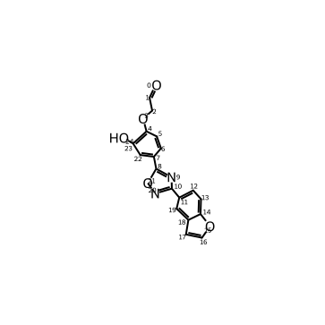 O=CCOc1ccc(-c2nc(-c3ccc4occc4c3)no2)cc1O